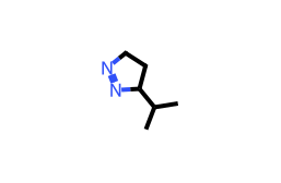 CC(C)C1CCN=N1